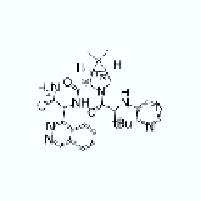 CC(C)(C)C(Nc1cncnc1)C(=O)N1C[C@H]2[C@@H]([C@H]1C(=O)NC(C(N)=O)c1nncc3ccccc13)C2(C)C